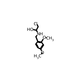 COc1ccc(CNC(O)CCl)c(OC)c1